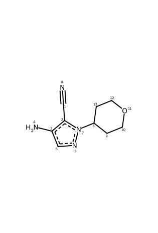 N#Cc1c(N)cnn1C1CCOCC1